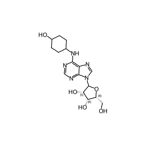 OC[C@H]1OC(n2cnc3c(NC4CCC(O)CC4)ncnc32)[C@@H](O)[C@H]1O